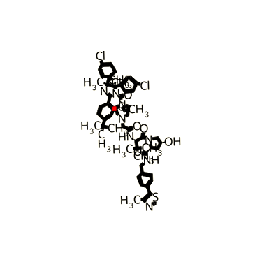 CCOc1cc(C(C)(C)C)ccc1C1=N[C@](C)(C2(C)C=CC(Cl)=CC2)[C@](C)(c2ccc(Cl)cc2)N1C(=O)N1CCN(CC(=O)N[C@H](C(=O)N2C[C@H](O)C[C@H]2C(=O)NCc2ccc(-c3scnc3C)cc2)C(C)(C)C)CC1